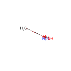 CCCCCCCCCCCCCCCCCCCCCCCCCCCCCCCCCC(=O)Oc1ccc(C[C@H](N)C(=O)O)cc1